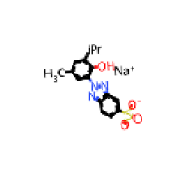 Cc1cc(C(C)C)c(O)c(-n2nc3ccc(S(=O)(=O)[O-])cc3n2)c1.[Na+]